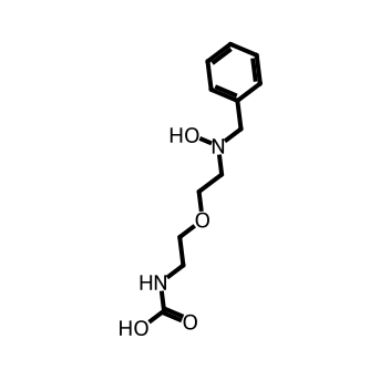 O=C(O)NCCOCCN(O)Cc1ccccc1